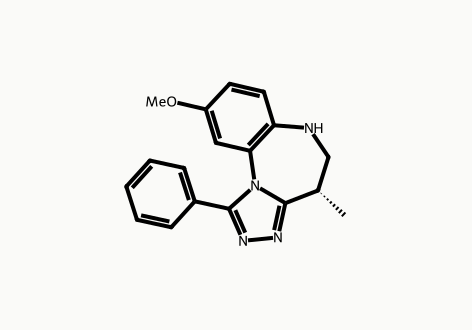 COc1ccc2c(c1)-n1c(-c3ccccc3)nnc1[C@@H](C)CN2